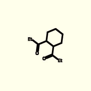 CCC(=O)C1CCCCC1C(=O)CC